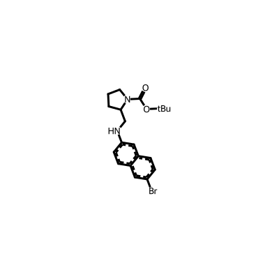 CC(C)(C)OC(=O)N1CCCC1CNc1ccc2cc(Br)ccc2c1